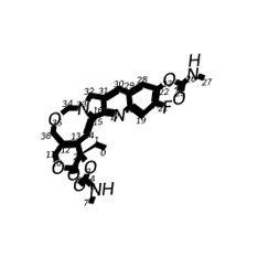 CC[C@@]1(OC(=O)NC)C(=O)OCC2=C1/C=C1/c3nc4cc(F)c(OC(=O)NC)cc4cc3CN1COC2